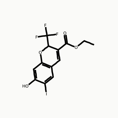 CCOC(=O)C1=Cc2cc(I)c(O)cc2OC1C(F)(F)F